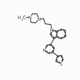 CN1CCN(CCCn2cc(-c3cncc(-c4ccsc4)c3)c3ccccc32)CC1